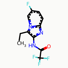 CCc1c(NC(=O)C(F)(F)F)nc2ccc(F)cn12